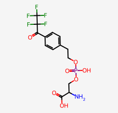 NC(COP(=O)(O)OCCc1ccc(C(=O)C(F)(F)C(F)(F)F)cc1)C(=O)O